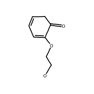 [O]CCOC1=CC=CCC1=O